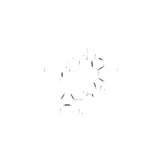 CC(=O)N1CCC(Nc2cc(-c3c[nH]c(C(=O)N[C@H](CN)c4cccc(Cl)c4)c3)c(C)cn2)CC1